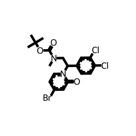 CN(CC(c1ccc(Cl)c(Cl)c1)n1ccc(Br)cc1=O)C(=O)OC(C)(C)C